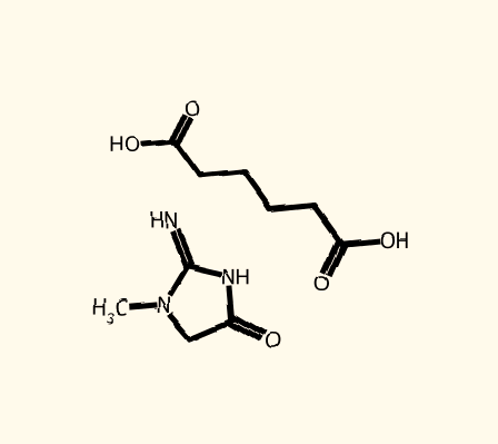 CN1CC(=O)NC1=N.O=C(O)CCCCC(=O)O